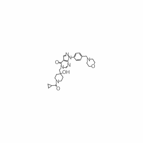 O=C(C1CC1)N1CCC(O)(Cn2cnc3c(cnn3-c3ccc(CN4CCOCC4)cc3)c2=O)CC1